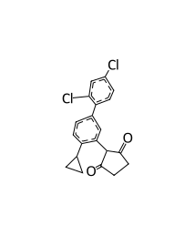 O=C1CCC(=O)C1c1cc(-c2ccc(Cl)cc2Cl)ccc1C1CC1